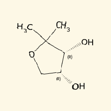 CC1(C)OC[C@@H](O)[C@H]1O